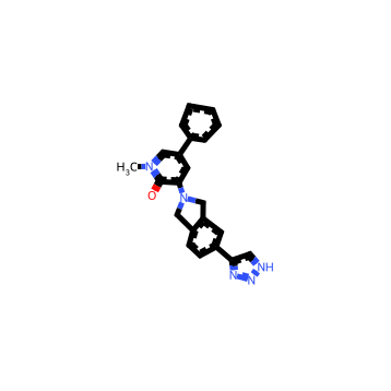 Cn1cc(-c2ccccc2)cc(N2Cc3ccc(-c4c[nH]nn4)cc3C2)c1=O